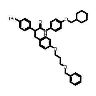 CC(C)(C)c1ccc(C(Cc2ccc(OCCCOCc3ccccc3)cc2)C(=O)Nc2ccc(OCC3CCCCC3)cc2)cc1